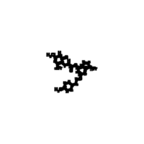 CCCc1cc(C)[nH]c(=O)c1CNC(=O)Oc1cc(OCCN2CCN(C)CC2)cc2c1ccn2C(C)C